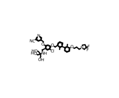 Cc1c(COc2cc(OCc3cncc(C#N)c3)c(CNC(CO)(CO)CO)cc2Cl)cccc1-c1cccc(OCCCN2CCC(F)(F)C2)c1C